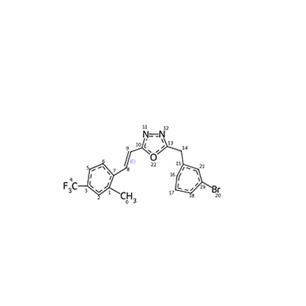 Cc1cc(C(F)(F)F)ccc1/C=C/c1nnc(Cc2cccc(Br)c2)o1